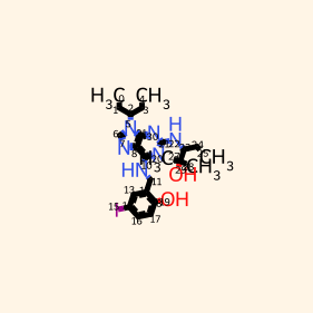 CCC(CC)n1cnc2c(NCc3cc(I)ccc3O)nc(NC(CC)C(C)(C)O)nc21